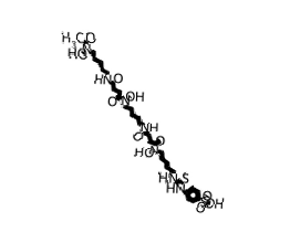 CC(=O)N(O)CCCCCNC(=O)CCC(=O)N(O)CCCCCNC(=O)CCC(=O)N(O)CCCCCNC(=S)Nc1ccc(S(=O)(=O)O)cc1